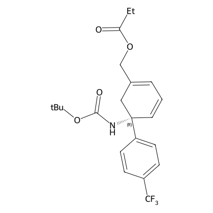 CCC(=O)OCC1=CC=C[C@@](NC(=O)OC(C)(C)C)(c2ccc(C(F)(F)F)cc2)C1